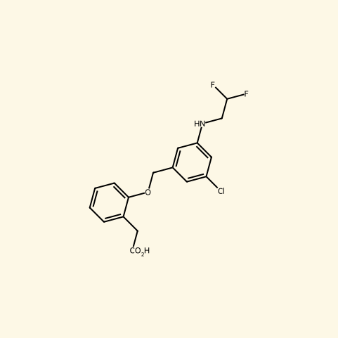 O=C(O)Cc1ccccc1OCc1cc(Cl)cc(NCC(F)F)c1